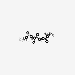 CC(C)(C)c1ccc(N(c2ccccc2)c2ccc3c(c2)oc2ccc(N(c4ccccc4)c4cc(-c5ccccc5)c5oc6cc(N(c7ccccc7)c7ccc(C(C)(C)C)cc7)ccc6c5c4)cc23)cc1